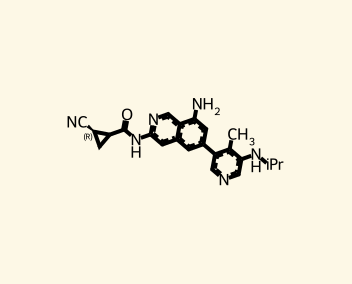 Cc1c(NC(C)C)cncc1-c1cc(N)c2cnc(NC(=O)C3C[C@H]3C#N)cc2c1